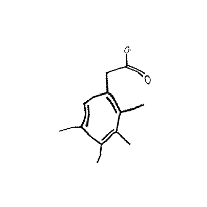 Cc1cc(CC([O])=O)c(C)c(C)c1C